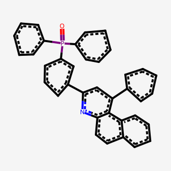 O=P(c1ccccc1)(c1ccccc1)c1cccc(-c2cc(-c3ccccc3)c3c(ccc4ccccc43)n2)c1